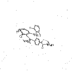 N=C(c1ccc(N2CCNC2=O)cc1)c1c(Nc2c(F)cccc2F)cc[nH]c1=O